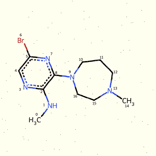 CNc1ncc(Br)nc1N1CCCN(C)CC1